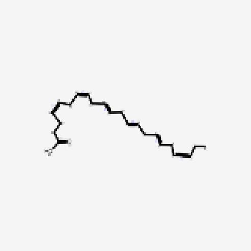 CC/C=C\C/C=C/C/C=C/C/C=C/C/C=C\C/C=C\CCC(=O)O